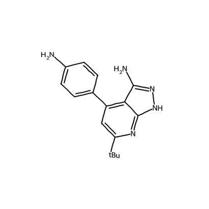 CC(C)(C)c1cc(-c2ccc(N)cc2)c2c(N)n[nH]c2n1